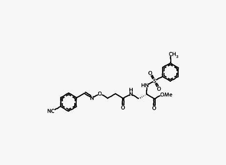 COC(=O)[C@H](CNC(=O)CCON=Cc1ccc(C#N)cc1)NS(=O)(=O)c1cccc(C)c1